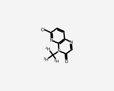 [2H]C([2H])([2H])n1c(=O)cnc2ccc(Cl)nc21